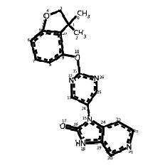 CC1(C)COc2cccc(Oc3ncc(-n4c(=O)[nH]c5cnccc54)cn3)c21